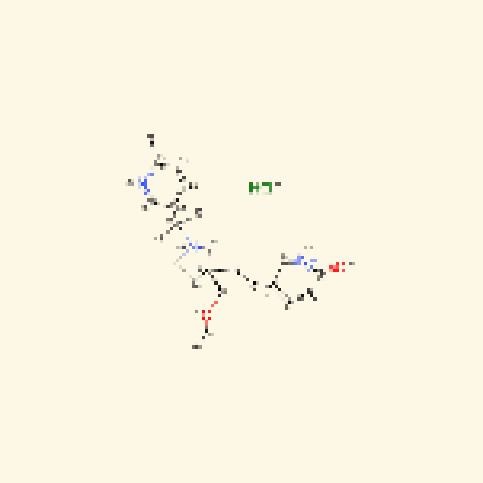 CCOC[C@@]1(CCc2ccc(=O)[nH]c2)CCN(C(C)(C)c2ccc(C)nc2)C1.Cl